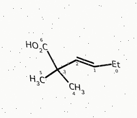 CCC=CC(C)(C)C(=O)O